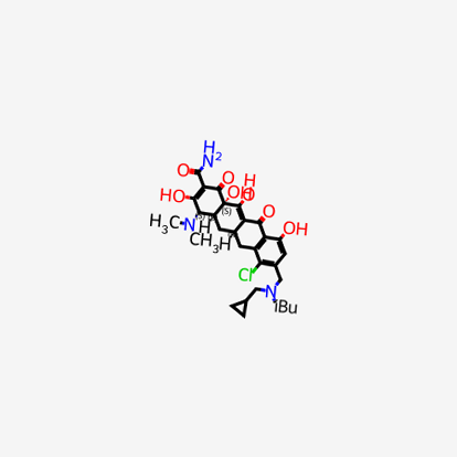 CCC(C)N(Cc1cc(O)c2c(c1Cl)C[C@H]1C[C@H]3[C@H](N(C)C)C(O)=C(C(N)=O)C(=O)[C@@]3(O)C(O)=C1C2=O)CC1CC1